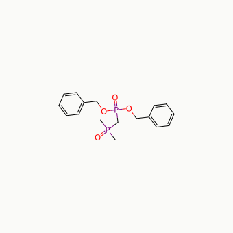 CP(C)(=O)CP(=O)(OCc1ccccc1)OCc1ccccc1